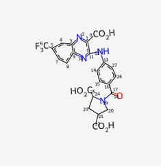 O=C(O)c1nc2cc(C(F)(F)F)ccc2nc1Nc1ccc(C(=O)N2CC(C(=O)O)CC2C(=O)O)cc1